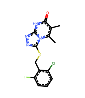 Cc1c(C)n2c(SCc3c(F)cccc3Cl)nnc2[nH]c1=O